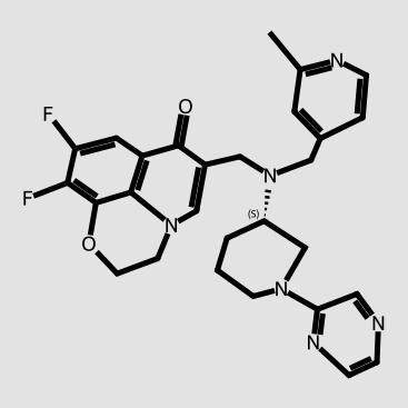 Cc1cc(CN(Cc2cn3c4c(c(F)c(F)cc4c2=O)OCC3)[C@H]2CCCN(c3cnccn3)C2)ccn1